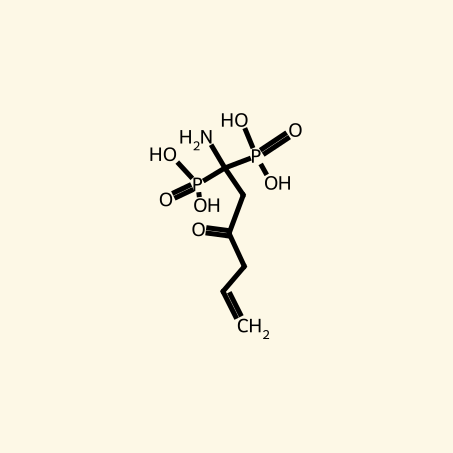 C=CCC(=O)CC(N)(P(=O)(O)O)P(=O)(O)O